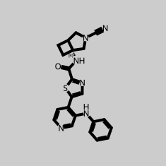 N#CN1CC2CC[C@]2(NC(=O)c2ncc(-c3ccncc3Nc3ccccc3)s2)C1